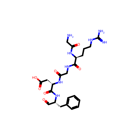 N=C(N)NCCC[C@H](NC(=O)CN)C(=O)NCC(=O)N[C@@H](CC(=O)O)C(=O)N[C@@H](C=O)Cc1ccccc1